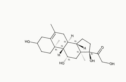 CC1=C2CC(O)CC[C@]2(C)[C@@H]2[C@@H](C1)[C@@H]1CC[C@](O)(C(=O)CO)[C@@]1(C)C[C@@H]2O